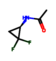 CC(=O)N[C@@H]1CC1(F)F